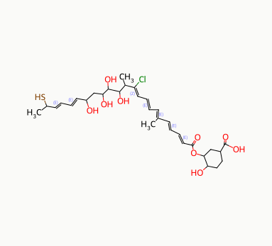 CC(/C=C/C=C/C(=O)OC1CC(C(=O)O)CCC1O)=C\C=C\C=C(/Cl)C(C)C(O)C(O)C(O)CC(O)/C=C/C=C/C(C)S